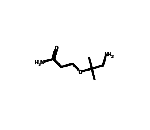 CC(C)(CN)OCCC(N)=O